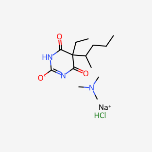 CCCC(C)C1(CC)C(=O)N=C([O-])NC1=O.CN(C)C.Cl.[Na+]